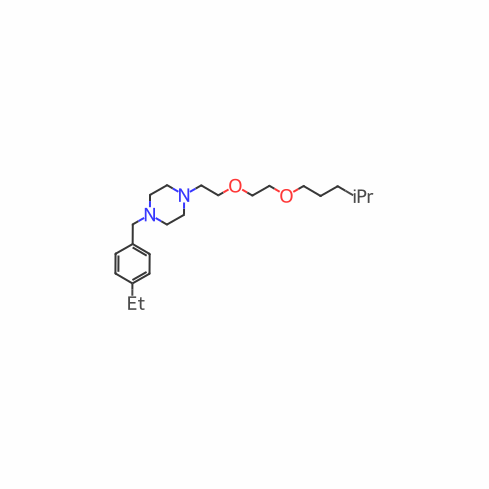 CCc1ccc(CN2CCN(CCOCCOCCCC(C)C)CC2)cc1